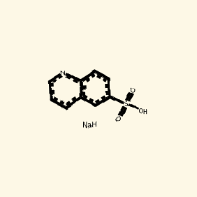 O=S(=O)(O)c1ccc2ncccc2c1.[NaH]